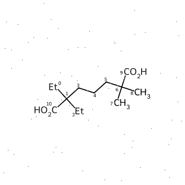 CCC(CC)(CCCC(C)(C)C(=O)O)C(=O)O